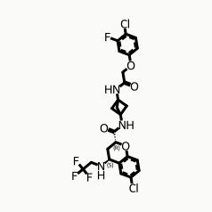 O=C(COc1ccc(Cl)c(F)c1)NC12CC(NC(=O)[C@H]3C[C@H](NCC(F)(F)F)c4cc(Cl)ccc4O3)(C1)C2